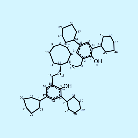 Oc1c(CS[C@H]2CCCCCC[C@@H]2SCc2cc(C3CCCCC3)cc(C3CCCCC3)c2O)cc(C2CCCCC2)cc1C1CCCCC1